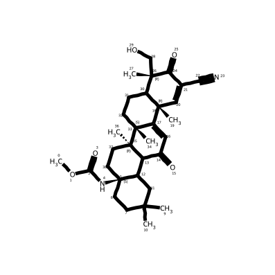 COC(=O)N[C@]12CCC(C)(C)CC1C1C(=O)C=C3[C@@]4(C)C=C(C#N)C(=O)[C@@](C)(CO)C4CC[C@@]3(C)[C@]1(C)CC2